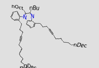 CCCCCCCCCCCCCCCC#CCCCc1ccccc1N=C(CCCC)C(CCCCCCCC)=Nc1ccccc1CCCC#CCCCCCCCCCCCCCCC.[Pd]